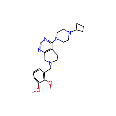 COc1cccc(CN2CCc3c(ncnc3N3CCN(C4CCC4)CC3)C2)c1OC